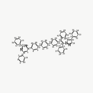 c1ccc(-c2cc(-c3ccc(-c4ccc(-c5ccc(-c6c(-c7ccccc7)n7ncc(-c8ccccc8)c7c7ccccc67)cc5)cc4)cc3)nc(-c3ccccc3)n2)cc1